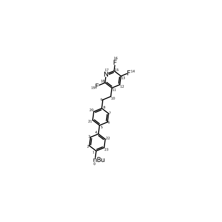 CCCCc1ccc(-c2ccc(CCc3cc(F)c(F)nc3F)cc2)cc1